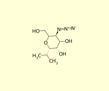 CC(C)[C@@H]1OC(CO)[C@@H](N=[N+]=[N-])C(O)[C@@H]1O